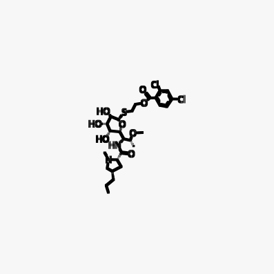 CCC[C@@H]1C[C@@H](C(=O)N[C@@H]([C@H]2O[C@H](SCCOC(=O)c3ccc(Cl)cc3Cl)[C@H](O)[C@@H](O)[C@H]2O)[C@@H](C)OC)N(C)C1